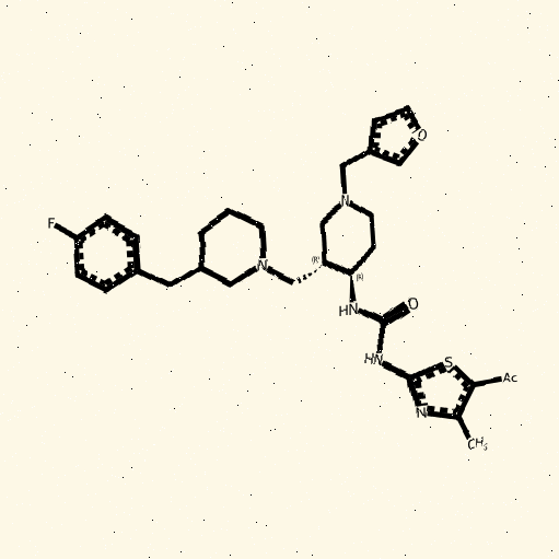 CC(=O)c1sc(NC(=O)N[C@@H]2CCN(Cc3ccoc3)C[C@H]2CN2CCCC(Cc3ccc(F)cc3)C2)nc1C